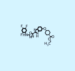 CCOC(=O)[C@H]1CC[C@@H](Oc2ccc3nc(-c4nnc(Nc5cc(F)c(F)cc5F)o4)[nH]c3c2)CC1